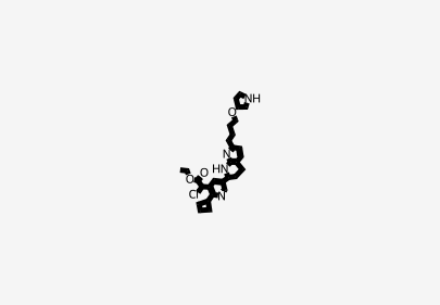 CCOC(=O)C(Cl)c1cc(C2CCc3ccc(CCCCO[C@@H]4CCNC4)nc3N2)cnc1C1CCC1